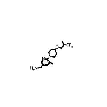 Cc1cc(CN)cnc1N1CCC(OCC(C)C(F)(F)F)CC1